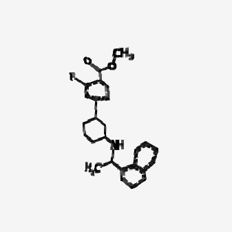 COC(=O)c1ccc(C2CCCC(NC(C)c3cccc4ccccc34)C2)cc1F